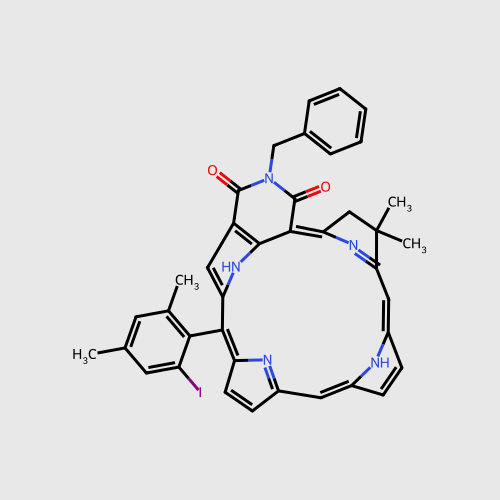 Cc1cc(C)c(-c2c3nc(cc4ccc(cc5nc(c6c7[nH]c2cc7C(=O)N(Cc2ccccc2)C6=O)CC5(C)C)[nH]4)C=C3)c(I)c1